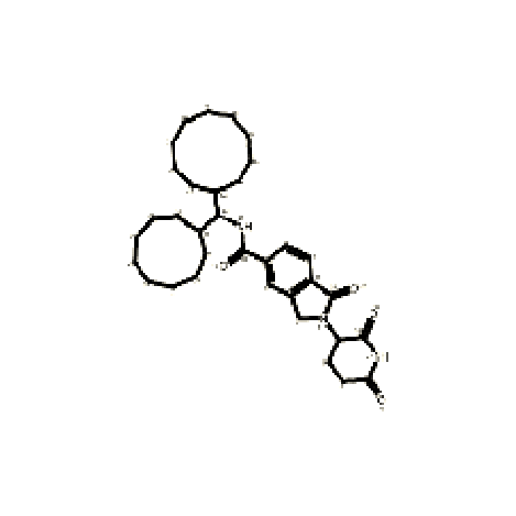 O=C1CCC(N2Cc3cc(C(=O)N[C@H](C4CCCCCCCCC4)C4CCCCCCCC4)ccc3C2=O)C(=O)N1